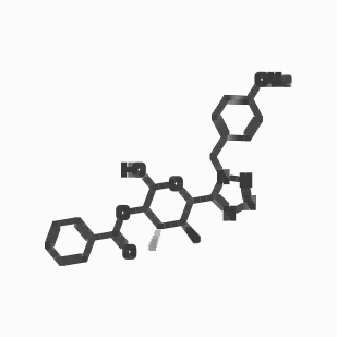 COc1ccc(Cn2nnnc2C2OC(O)C(OC(=O)c3ccccc3)[C@@H](C)[C@@H]2C)cc1